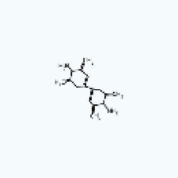 C=C1C=C(C2=CC(=C)C(N)C(=C)C2)CC(=C)C1N